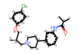 CC(C)C(=O)Nc1cccc(C2CCN(C[C@@H](C)COc3ccc(Cl)cc3)CC2)c1